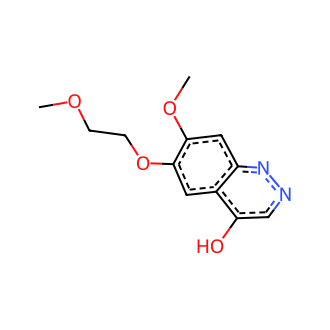 COCCOc1cc2c(O)cnnc2cc1OC